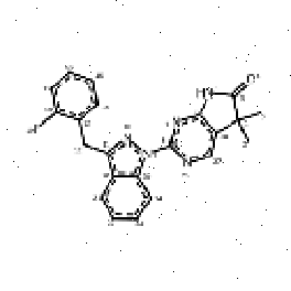 CC1(C)C(=O)Nc2nc(-n3nc(Cc4ccccc4F)c4ccccc43)ncc21